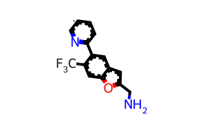 NCc1cc2cc(-c3cc[c]cn3)c(C(F)(F)F)cc2o1